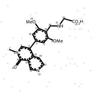 COc1cc(-c2cn(C)c(=O)c3cnccc23)cc(OC)c1CNCC(=O)O